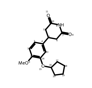 COc1ccc(C2CC(=O)NC(=O)C2)cc1OC1CCCC1